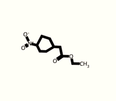 CCOC(=O)CC1CCC([N+](=O)[O-])CC1